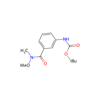 CON(C)C(=O)c1cccc(NC(=O)OC(C)(C)C)c1